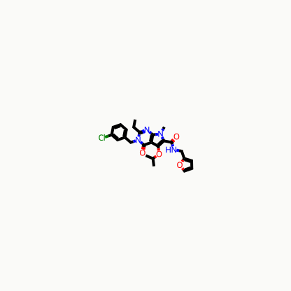 CCc1nc2c(c(OC(C)C)c(C(=O)NCc3ccco3)n2C)c(=O)n1Cc1cccc(Cl)c1